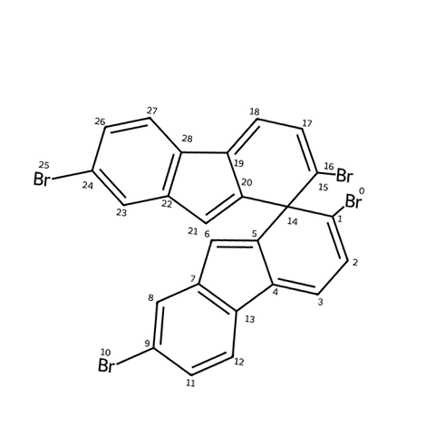 BrC1=CC=C2C(=Cc3cc(Br)ccc32)C12C(Br)=CC=C1C2=Cc2cc(Br)ccc21